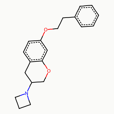 c1ccc(CCOc2ccc3c(c2)OCC(N2CCC2)C3)cc1